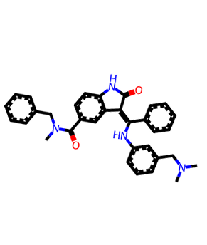 CN(C)Cc1cccc(NC(=C2C(=O)Nc3ccc(C(=O)N(C)Cc4ccccc4)cc32)c2ccccc2)c1